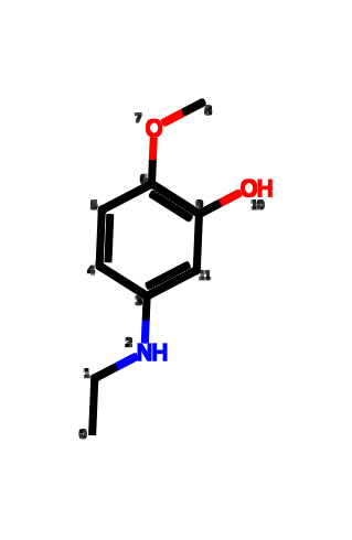 CCNc1ccc(OC)c(O)c1